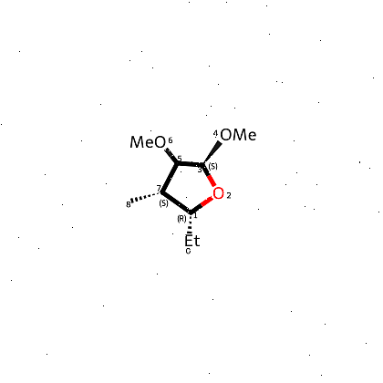 CC[C@H]1O[C@H](OC)C(OC)[C@H]1C